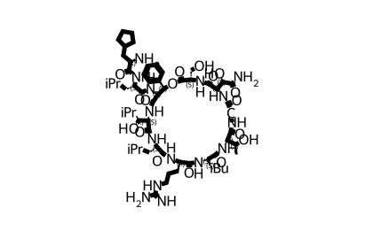 CC[C@H](C)[C@@H]1NC(=O)[C@@H](CCCNC(=N)N)NC(=O)[C@H](CC(C)C)NC(=O)[C@H]([C@H](O)C(C)C)NC(=O)[C@@H](NC(=O)[C@H](CC(C)C)NC(=O)[C@H](N)CC2CCCC2)[C@@H](c2ccccc2)OC(=O)[C@H](CO)NC(=O)[C@H]([C@H](O)C(N)=O)NC(=O)CNC(=O)[C@H]([C@H](C)O)NC1=O